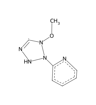 CON1[C]=NNN1c1ccccn1